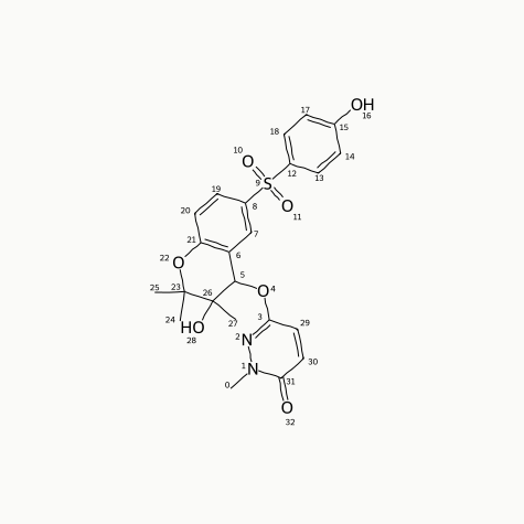 Cn1nc(OC2c3cc(S(=O)(=O)c4ccc(O)cc4)ccc3OC(C)(C)C2(C)O)ccc1=O